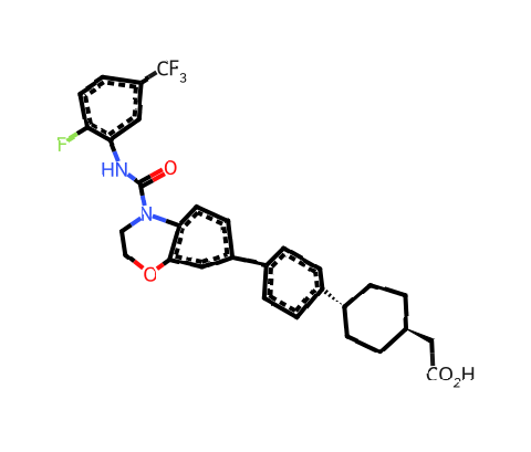 O=C(O)C[C@H]1CC[C@H](c2ccc(-c3ccc4c(c3)OCCN4C(=O)Nc3cc(C(F)(F)F)ccc3F)cc2)CC1